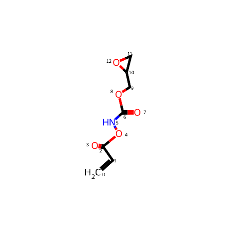 C=CC(=O)ONC(=O)OCC1CO1